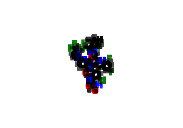 Cn1nc(NS(C)(=O)=O)c2c(Cl)ccc(-n3c([C@H](Cc4cc(F)cc(F)c4)NC(=O)Cn4nc(C(F)F)c5c4C(F)(F)[C@@H]4C[C@H]54)nc4nc(-n5ccc(C(F)(F)F)n5)ccc4c3=O)c21